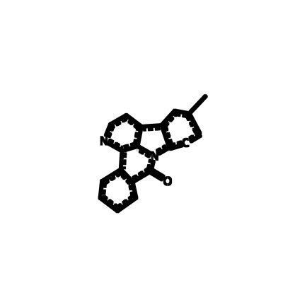 Cc1ccc2c(c1)c1ccnc3c4ccccc4c(=O)n2c13